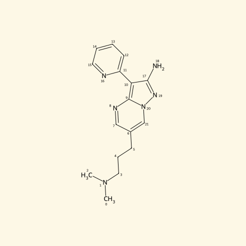 CN(C)CCCc1cnc2c(-c3ccccn3)c(N)nn2c1